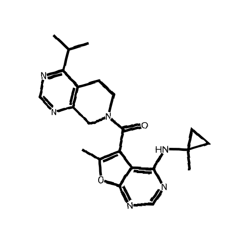 Cc1oc2ncnc(NC3(C)CC3)c2c1C(=O)N1CCc2c(ncnc2C(C)C)C1